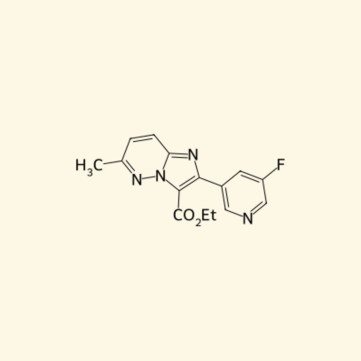 CCOC(=O)c1c(-c2cncc(F)c2)nc2ccc(C)nn12